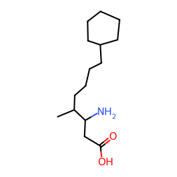 CC(CCCCC1CCCCC1)C(N)CC(=O)O